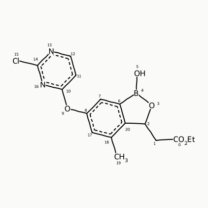 CCOC(=O)CC1OB(O)c2cc(Oc3ccnc(Cl)n3)cc(C)c21